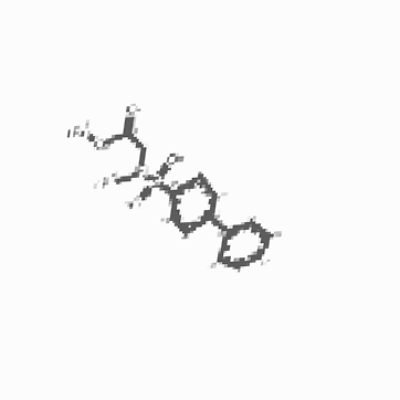 CCCN(CC(=O)OC(C)(C)C)S(=O)(=O)c1ccc(-c2ccccc2)cc1